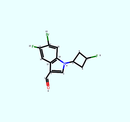 O=Cc1cn(C2CC(F)C2)c2cc(Br)c(F)cc12